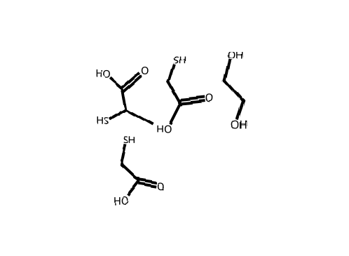 CC(S)C(=O)O.O=C(O)CS.O=C(O)CS.OCCO